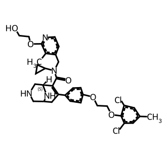 Cc1cc(Cl)c(OCCOc2ccc(C3=C(C(=O)N(Cc4ccnc(OCCO)c4C)C4CC4)[C@H]4CNCC(C3)N4)cc2)c(Cl)c1